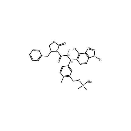 CCn1nnc2c(Cl)c([C@H](c3ccc(C)c(CO[Si](C)(C)C(C)(C)C)c3)[C@@H](C)C(=O)N3C(=O)OCC3Cc3ccccc3)ccc21